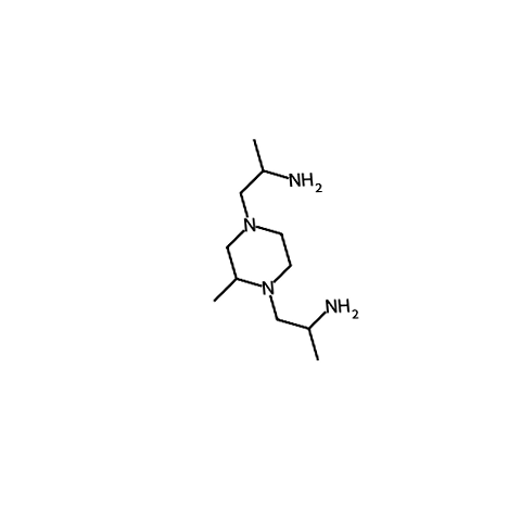 CC(N)CN1CCN(CC(C)N)C(C)C1